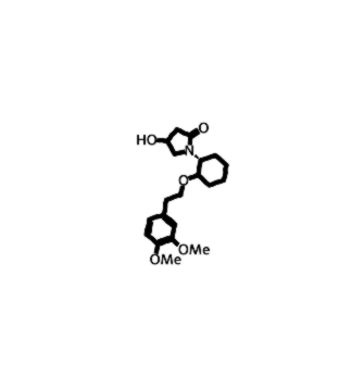 COc1ccc(CCOC2CCCC[C@H]2N2CC(O)CC2=O)cc1OC